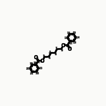 O=C(OCC[CH]CCCOC(=O)c1ccccc1)c1ccccc1